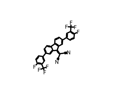 N#CC(C#N)=C1c2cc(-c3ccc(F)c(C(F)(F)F)c3)ccc2-c2ccc(-c3ccc(F)c(C(F)(F)F)c3)cc21